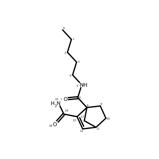 CCCCCNC(=O)C12CCC(C=C1C(N)=O)C2